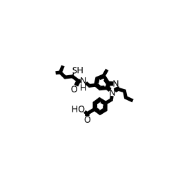 CCCc1nc2c(C)cc(CNC(=O)[C@@H](S)CC(C)C)cc2n1Cc1ccc(C(=O)O)cc1